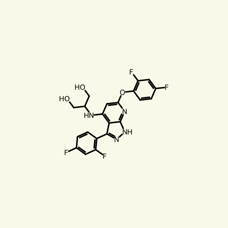 OCC(CO)Nc1cc(Oc2ccc(F)cc2F)nc2[nH]nc(-c3ccc(F)cc3F)c12